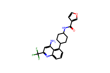 Nc1cc(C(F)(F)F)nc2cccc(C3CCC(NC(=O)c4ccoc4)CC3)c12